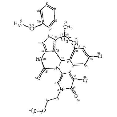 COCCn1cc(N2C(=O)Nc3nn(-c4ccccc4OC)c(C(C)C)c3C2c2ccc(Cl)cc2C)cc(Cl)c1=O